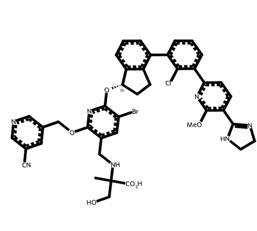 COc1nc(-c2cccc(-c3cccc4c3CC[C@@H]4Oc3nc(OCc4cncc(C#N)c4)c(CNC(C)(CO)C(=O)O)cc3Br)c2Cl)ccc1C1=NCCN1